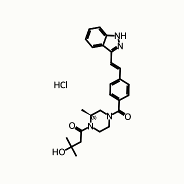 C[C@H]1CN(C(=O)c2ccc(C=Cc3n[nH]c4ccccc34)cc2)CCN1C(=O)CC(C)(C)O.Cl